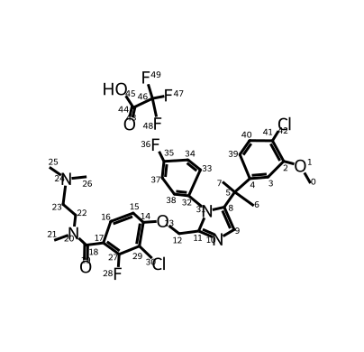 COc1cc(C(C)(C)c2cnc(COc3ccc(C(=O)N(C)CCN(C)C)c(F)c3Cl)n2-c2ccc(F)cc2)ccc1Cl.O=C(O)C(F)(F)F